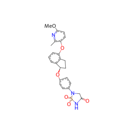 COc1ccc(Oc2cccc3c2CC[C@H]3Oc2ccc(N3CC(=O)NS3(=O)=O)cc2)c(C)n1